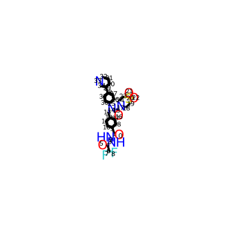 O=C(NNC(=O)C(F)F)c1ccc(CN(C(=O)N2CCS(=O)(=O)CC2)c2ccc(-c3cccnc3)cc2)cc1